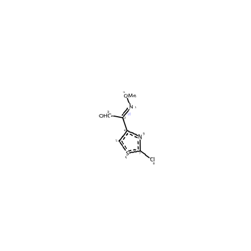 CO/N=C(\[C]=O)c1csc(Cl)n1